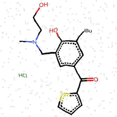 CCC(C)c1cc(C(=O)c2cccs2)cc(CN(C)CCO)c1O.Cl